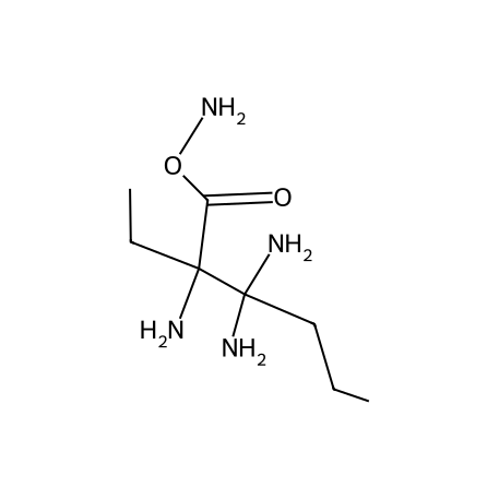 CCCC(N)(N)C(N)(CC)C(=O)ON